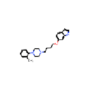 Cc1ccccc1N1CCN(CCCCOc2ccc3cc[nH]c3c2)CC1